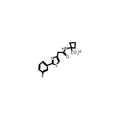 O=C(Cc1csc(-c2cccc(F)c2)n1)NC1(C(=O)O)CCC1